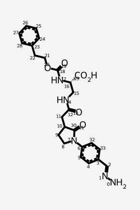 NN=Cc1ccc(N2CCC(CC(=O)NC[C@H](NC(=O)OCCc3ccccc3)C(=O)O)C2=O)cc1